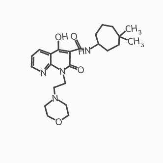 CC1(C)CCCC(NC(=O)c2c(O)c3cccnc3n(CCN3CCOCC3)c2=O)CC1